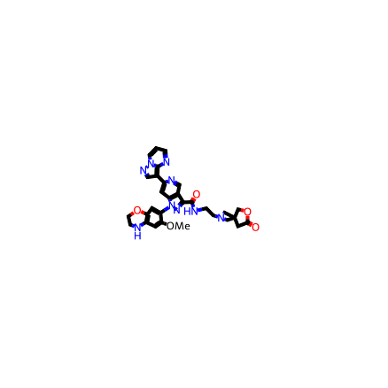 COc1cc2c(cc1-n1nc(C(=O)NCCN3CC4(COC(=O)C4)C3)c3cnc(-c4cnn5cccnc45)cc31)OCCN2